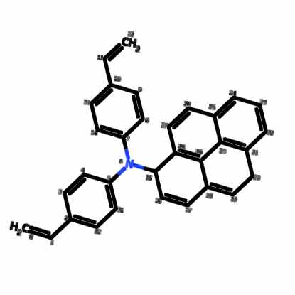 C=Cc1ccc(N(c2ccc(C=C)cc2)C2C=CC3=CCc4cccc5ccc2c3c45)cc1